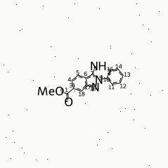 COC(=O)c1ccc2c(N)n(-c3ccccc3)nc2c1